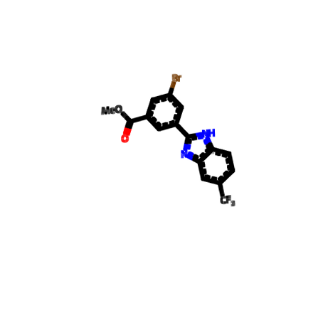 COC(=O)c1cc(Br)cc(-c2nc3cc(C(F)(F)F)ccc3[nH]2)c1